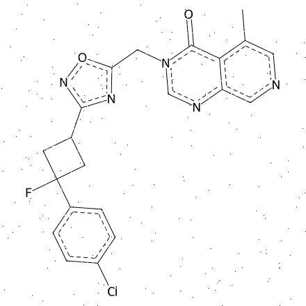 Cc1cncc2ncn(Cc3nc(C4CC(F)(c5ccc(Cl)cc5)C4)no3)c(=O)c12